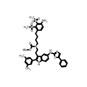 Cc1cc(C)cc(-c2[nH]c3ccc(Nc4ncc(-c5ccccc5)o4)cc3c2CCN(CCCCc2ccc(N)c(S(C)(=O)=O)c2S(C)(=O)=O)C(=O)OC(C)(C)C)c1